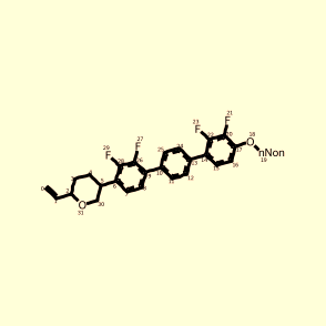 C=CC1CCC(c2ccc(-c3ccc(-c4ccc(OCCCCCCCCC)c(F)c4F)cc3)c(F)c2F)CO1